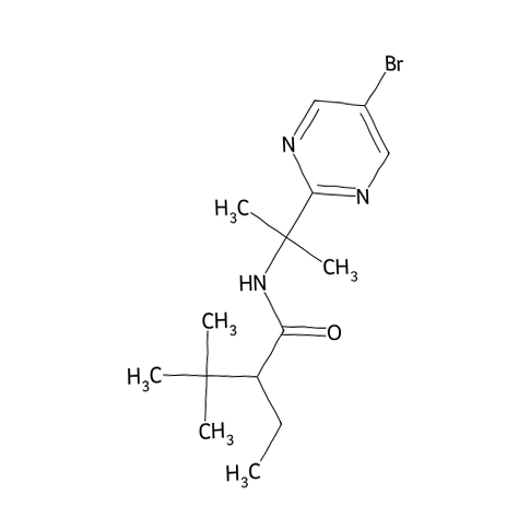 CCC(C(=O)NC(C)(C)c1ncc(Br)cn1)C(C)(C)C